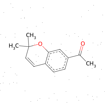 CC(=O)c1ccc2c(c1)OC(C)(C)C=C2